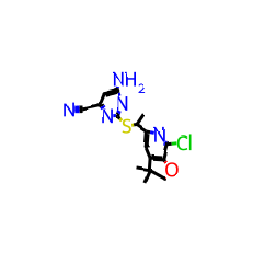 CC(Sc1nc(N)cc(C#N)n1)c1cc2c(c(Cl)n1)OCC2(C)C